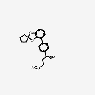 O=C(O)CCC(S)c1ccc(-c2cccc3c2OC2(CCCC2)O3)cc1